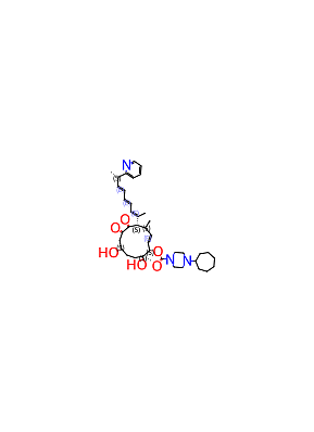 C\C(=C/C=C/C=C/[C@H](C)c1ccccn1)[C@H]1C(=O)C(=O)C[C@@H](O)CC[C@](C)(O)[C@@H](OC(=O)N2CCN(C3CCCCCC3)CC2)/C=C/[C@@H]1C